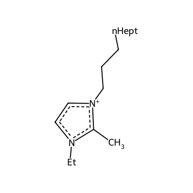 CCCCCCCCCC[n+]1ccn(CC)c1C